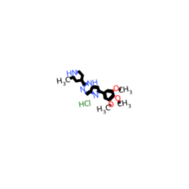 COc1cc(-c2cc3[nH]c(C4CCNC(C)C4)ncc-3n2)cc(OC)c1OC.Cl